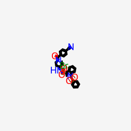 N#Cc1ccc(C(=O)N2CCC(NS(=O)(=O)c3cn(S(=O)(=O)c4ccccc4)c4cccc(Br)c34)CC2)cc1